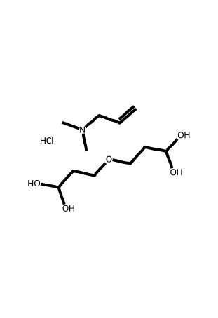 C=CCN(C)C.Cl.OC(O)CCOCCC(O)O